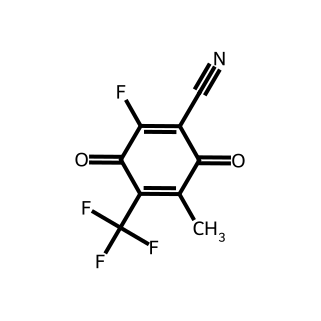 CC1=C(C(F)(F)F)C(=O)C(F)=C(C#N)C1=O